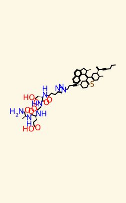 C=C(C#CCCC)[C@@H]1CC2=C(C[C@@H]1C)SC1=C(C[C@H](C#CCCn3cc(CCC(=O)N[C@@H](CC(=O)O)C(=O)NCC(=O)N[C@@H](CCC(=O)O)C(=O)N[C@@H](C)C(N)=O)nn3)CC1)/C2=C1\c2c(ccc3ccccc23)C[C@H]1C